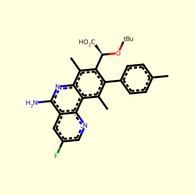 Cc1ccc(-c2c([C@H](OC(C)(C)C)C(=O)O)c(C)c3nc(N)c4cc(F)cnc4c3c2C)cc1